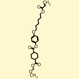 C=CC(=O)OCCCCCCOc1ccc(OC(=O)C2CCC(C(=O)OCOC)CC2)cc1